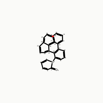 O=c1ccccn1-c1cccc(-c2ccccn2)c1-c1cccc2ccccc12